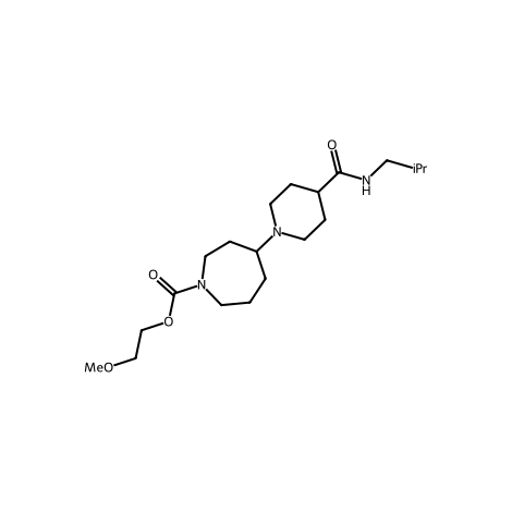 COCCOC(=O)N1CCCC(N2CCC(C(=O)NCC(C)C)CC2)CC1